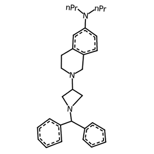 CCCN(CCC)c1ccc2c(c1)CCN(C1CN(C(c3ccccc3)c3ccccc3)C1)C2